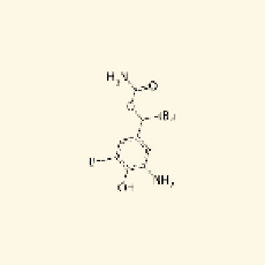 CC(C)(C)C(OC(N)=O)c1cc(N)c(O)c(Br)c1